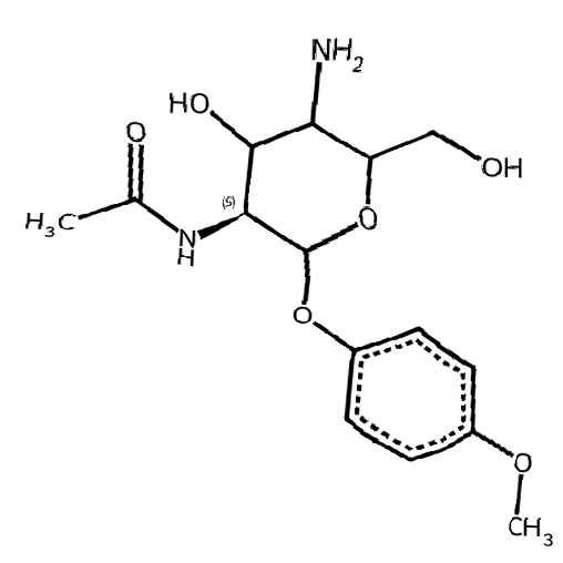 COc1ccc(OC2OC(CO)C(N)C(O)[C@@H]2NC(C)=O)cc1